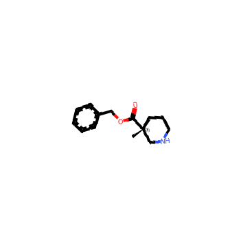 C[C@@]1(C(=O)OCc2ccccc2)CCCNC1